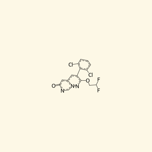 O=c1cc2cc(-c3c(Cl)cccc3Cl)c(OCC(F)F)nn2cn1